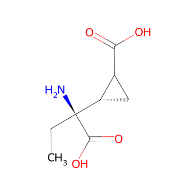 CC[C@@](N)(C(=O)O)[C@H]1CC1C(=O)O